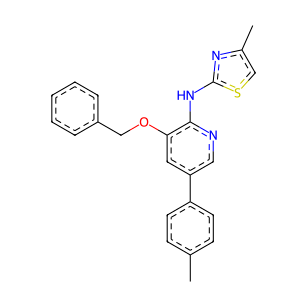 Cc1ccc(-c2cnc(Nc3nc(C)cs3)c(OCc3ccccc3)c2)cc1